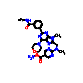 CCCNC(=O)c1cccc(-c2nc(N3CCOCC3)c3nc(CN(C)c4ncc(C(=O)ON)cn4)n(C)c3n2)c1